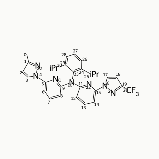 Cc1ccn(-c2cccc(N(c3cccc(-n4ccc(C(F)(F)F)n4)n3)c3c(C(C)C)cccc3C(C)C)n2)n1